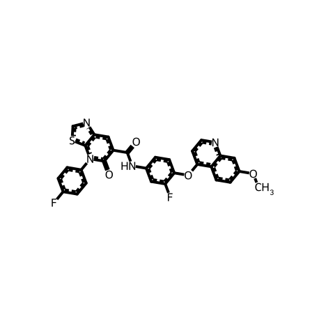 COc1ccc2c(Oc3ccc(NC(=O)c4cc5ncsc5n(-c5ccc(F)cc5)c4=O)cc3F)ccnc2c1